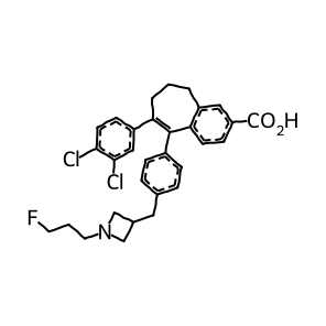 O=C(O)c1ccc2c(c1)CCCC(c1ccc(Cl)c(Cl)c1)=C2c1ccc(CC2CN(CCCF)C2)cc1